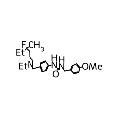 CCN(CCCC(C)(F)CC)Cc1ccc(NC(=O)NCc2ccc(OC)cc2)cc1